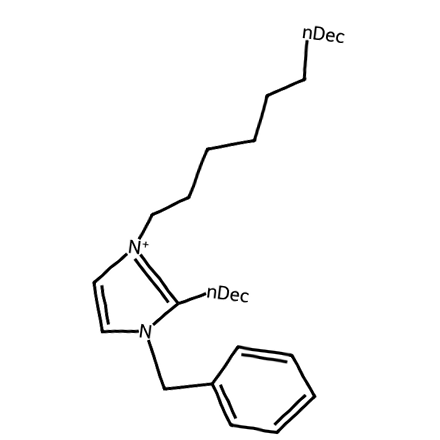 CCCCCCCCCCCCCCCC[n+]1ccn(Cc2ccccc2)c1CCCCCCCCCC